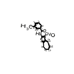 Cc1cccc(C(=O)Nc2sc3c(c2C=O)CCCCC3)c1